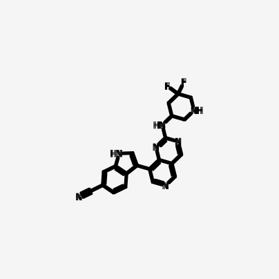 N#Cc1ccc2c(-c3cncc4cnc(NC5CNCC(F)(F)C5)nc34)c[nH]c2c1